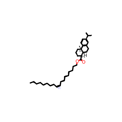 CCCCCCCC/C=C\CCCCCCCCOC(=O)[C@@]1(C)CCC[C@]2(C)c3ccc(C(C)C)cc3CC[C@@H]12